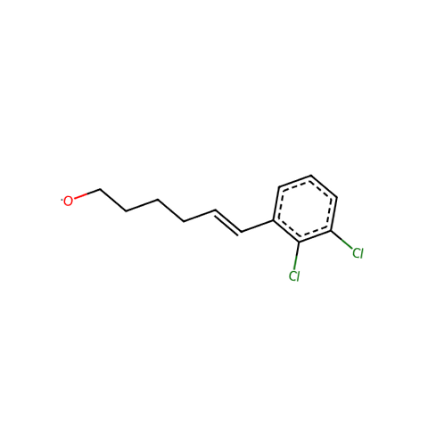 [O]CCCC/C=C/c1cccc(Cl)c1Cl